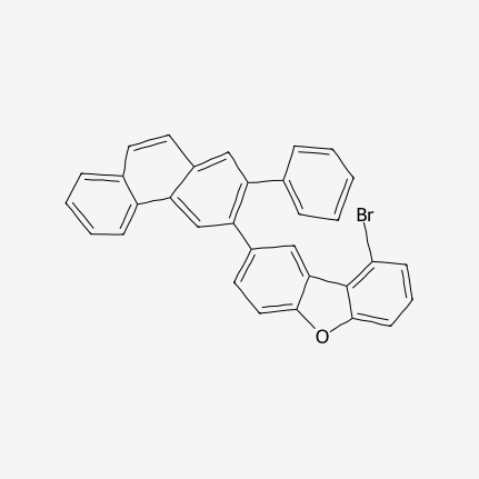 Brc1cccc2oc3ccc(-c4cc5c(ccc6ccccc65)cc4-c4ccccc4)cc3c12